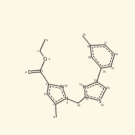 CCOC(=O)c1cc(C)n(Cc2nc(-c3cccc(C)c3)cs2)n1